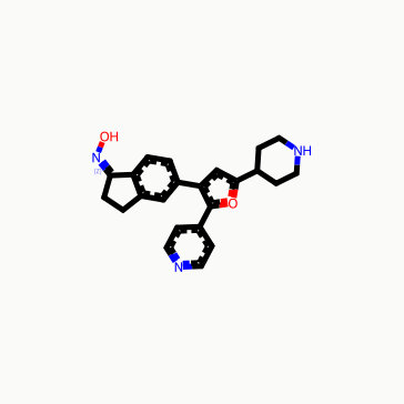 O/N=C1/CCc2cc(-c3cc(C4CCNCC4)oc3-c3ccncc3)ccc21